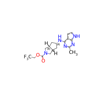 Cc1nc(N[C@@H]2C[C@@H]3CN(C(=O)OCC(F)(F)F)C[C@@H]3C2)c2cc[nH]c2n1